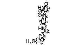 CCOC(=O)C(F)(F)CCC(=O)NCc1ccc2c(c1)CN(C1CCC(=O)NC1=O)C2=O